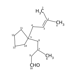 CC(C)=CCC1(CC(C)CC=O)CCCC1